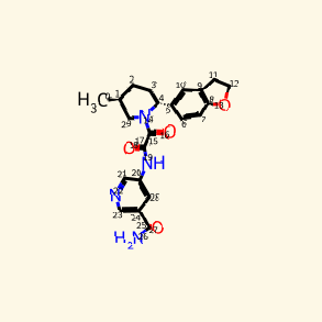 C[C@H]1CC[C@H](c2ccc3c(c2)CCO3)N(C(=O)C(=O)Nc2cncc(C(N)=O)c2)C1